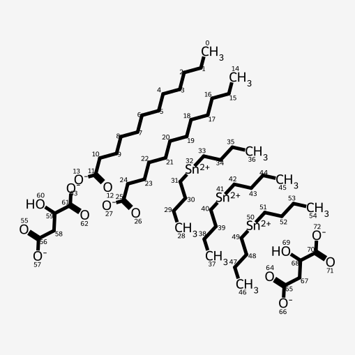 CCCCCCCCCCCC(=O)[O-].CCCCCCCCCCCC(=O)[O-].CCC[CH2][Sn+2][CH2]CCC.CCC[CH2][Sn+2][CH2]CCC.CCC[CH2][Sn+2][CH2]CCC.O=C([O-])CC(O)C(=O)[O-].O=C([O-])CC(O)C(=O)[O-]